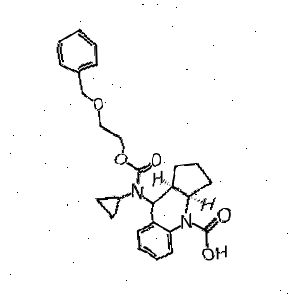 O=C(OCCOCc1ccccc1)N(C1CC1)C1c2ccccc2N(C(=O)O)[C@@H]2CCC[C@H]12